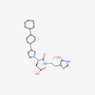 O=C(O)C[C@H](C(=O)N[C@H](CO)Cc1c[nH]cn1)n1ccc(-c2ccc(-c3ccccc3)cc2)c1